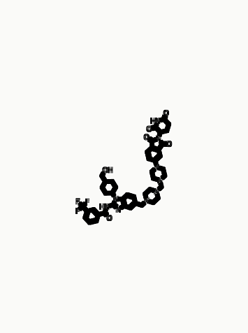 O=C1CCC(N2C(=O)c3ccc(N4CCN(CN5CCN(Cc6ccc7c(c6)nc(NC(=O)c6cccc(C(F)(F)F)c6)n7C6CCC(CO)CC6)CC5)CC4)cc3C2=O)C(=O)N1